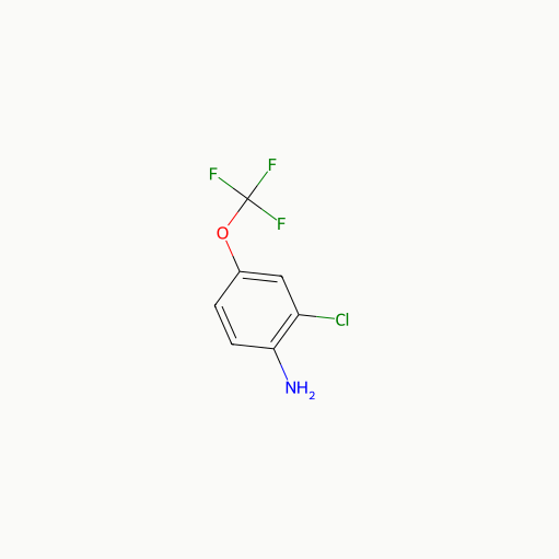 Nc1ccc(OC(F)(F)F)cc1Cl